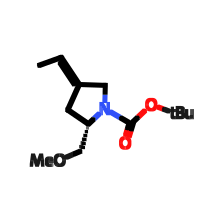 C/C=C1\C[C@@H](COC)N(C(=O)OC(C)(C)C)C1